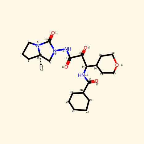 O=C(NN1C[C@H]2CCCN2C1=O)C(=O)C(NC(=O)C1CCCCC1)C1CCOCC1